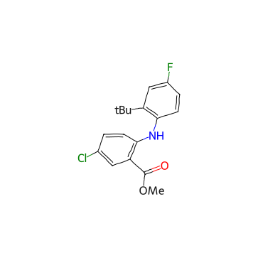 COC(=O)c1cc(Cl)ccc1Nc1ccc(F)cc1C(C)(C)C